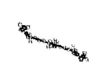 CN1Cc2c(Cl)cc(Cl)cc2[C@H](c2ccc(S(=O)(=O)NCCOCCOCCOCCNC(=O)[C@H](O)[C@@H](O)C(=O)NCCOCCOCCOCCNS(=O)(=O)c3ccc([C@@H]4CN(C)Cc5c(Cl)cc(Cl)cc54)cc3)cc2)C1